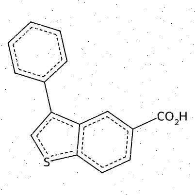 O=C(O)c1ccc2scc(-c3ccccc3)c2c1